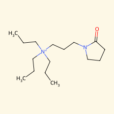 CCC[N+](CCC)(CCC)CCCN1CCCC1=O